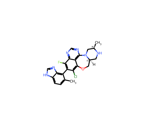 Cc1ccc2[nH]cnc2c1-c1c(Cl)c2c3c(ncnc3c1F)N1C[C@@H](C)NC[C@H]1CO2